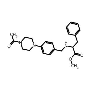 COC(=O)C(Cc1ccccc1)NCc1ccc(N2CCN(C(C)=O)CC2)cc1